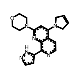 C1=CCN(c2cc(N3CCOCC3)nc3c(-c4ccn[nH]4)nccc23)C1